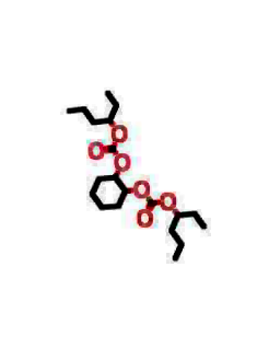 CCCC(CC)OC(=O)OC1CCCCC1OC(=O)OC(CC)CCC